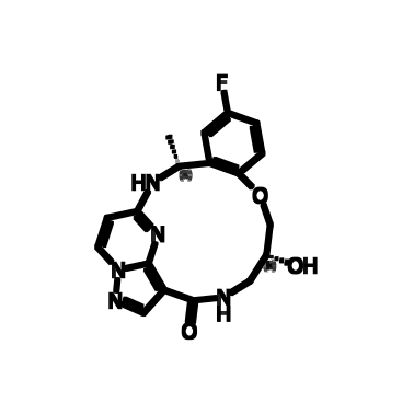 C[C@H]1Nc2ccn3ncc(c3n2)C(=O)NC[C@@H](O)COc2ccc(F)cc21